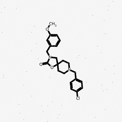 COc1cccc(CN2CC3(CCN(Cc4ccc(Cl)cc4)CC3)OC2=O)c1